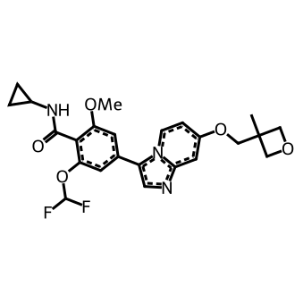 COc1cc(-c2cnc3cc(OCC4(C)COC4)ccn23)cc(OC(F)F)c1C(=O)NC1CC1